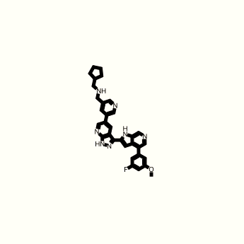 COc1cc(F)cc(-c2cncc3[nH]c(-c4n[nH]c5ncc(-c6cncc(CNCC7CCCC7)c6)cc45)cc23)c1